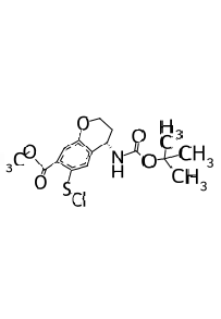 COC(=O)c1cc2c(cc1SCl)[C@@H](NC(=O)OC(C)(C)C)CCO2